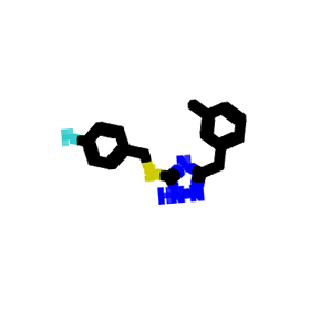 Cc1cccc(Cc2n[nH]c(SCc3ccc(F)cc3)n2)c1